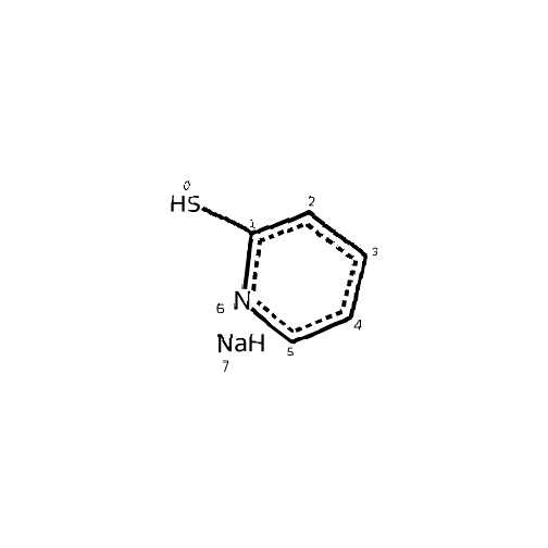 Sc1ccccn1.[NaH]